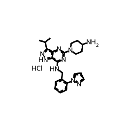 CC(C)c1n[nH]c2c(NCc3ccccc3-n3cccn3)nc(N3CCC(N)CC3)nc12.Cl